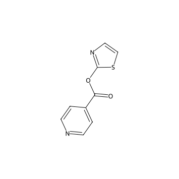 O=C(Oc1nccs1)c1ccncc1